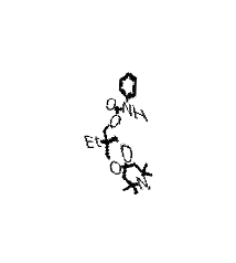 CCC1(COC(=O)Nc2ccccc2)COC2(CC(C)(C)N(C)C(C)(C)C2)OC1